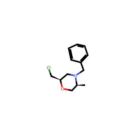 C[C@H]1CO[C@@H](CCl)CN1Cc1ccccc1